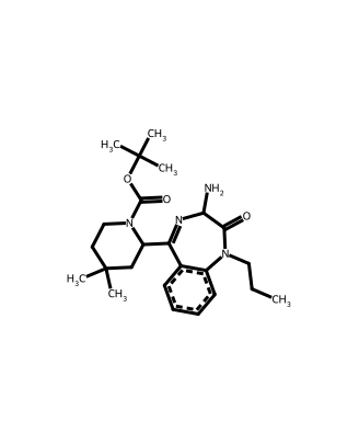 CCCN1C(=O)C(N)N=C(C2CC(C)(C)CCN2C(=O)OC(C)(C)C)c2ccccc21